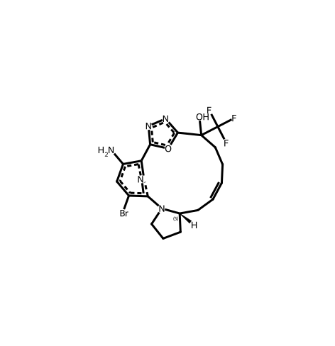 Nc1cc(Br)c2nc1-c1nnc(o1)C(O)(C(F)(F)F)CCC=CC[C@@H]1CCCN21